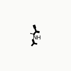 C#CC(=C)[C@H](C)NC=C(C)C